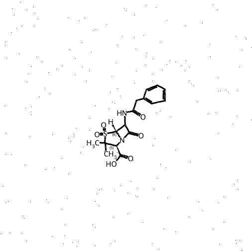 CC1(C)[C@H](C(=O)O)N2C(=O)C(NC(=O)Cc3ccccc3)[C@H]2S1(=O)=O